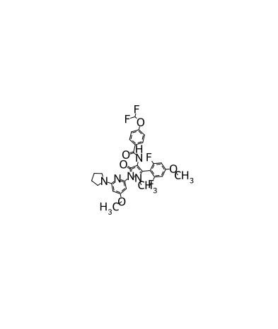 COc1cc(N2CCCC2)nc(-n2c(=O)c(NC(=O)c3ccc(OC(F)F)cc3)c(-c3c(F)cc(OC)cc3F)n2C)c1